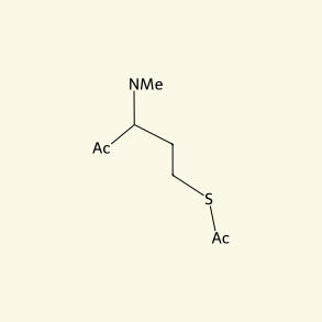 CNC(CCSC(C)=O)C(C)=O